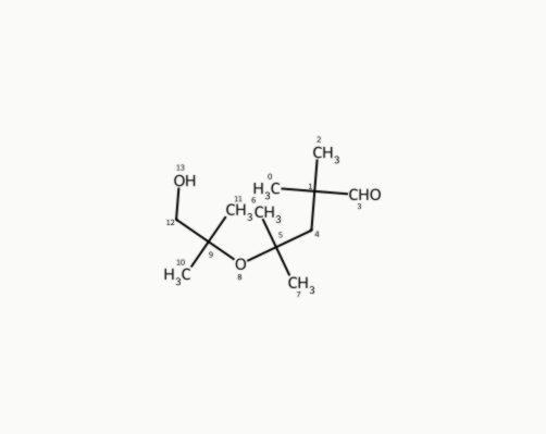 CC(C)(C=O)CC(C)(C)OC(C)(C)CO